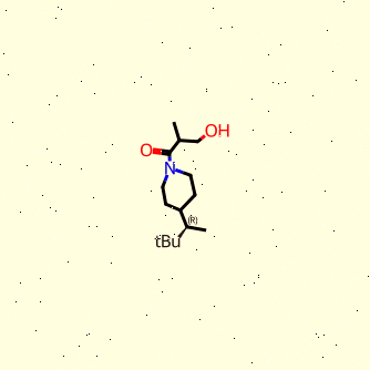 CC(CO)C(=O)N1CCC([C@@H](C)C(C)(C)C)CC1